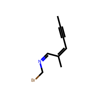 CC#C/C=C(C)\C=N/CBr